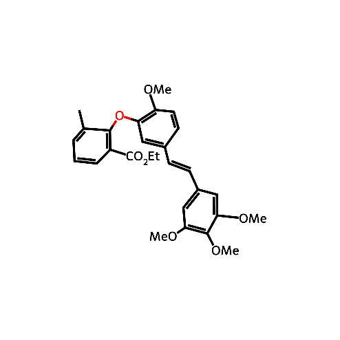 CCOC(=O)c1cccc(C)c1Oc1cc(C=Cc2cc(OC)c(OC)c(OC)c2)ccc1OC